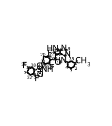 Cc1cccc(Nc2ncnc3[nH]cc(C(=O)c4c(F)ccc(NS(=O)(=O)c5cc(F)ccc5F)c4F)c23)c1